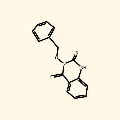 O=c1c2ccccc2[nH]c(=S)n1OCc1ccccc1